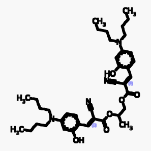 CCCCN(CCCC)c1ccc(/C=C(\C#N)C(=O)OCC(C)OC(=O)/C(C#N)=C/c2ccc(N(CCCC)CCCC)cc2O)c(O)c1